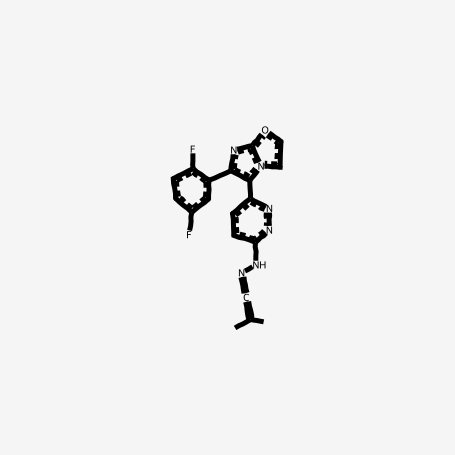 CC(C)=C=NNc1ccc(-c2c(-c3cc(F)ccc3F)nc3occn23)nn1